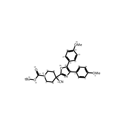 COc1ccc(-c2nc(C3(C#N)CCN(C(=O)OC(C)(C)C)CC3)oc2-c2ccc(OC)cc2)cc1